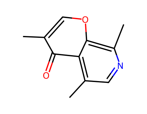 Cc1coc2c(C)ncc(C)c2c1=O